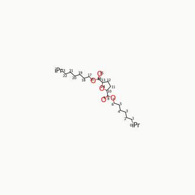 CC(C)CCCCCCOC(=O)C1CCC(C(=O)OCCCCCCC(C)C)O1